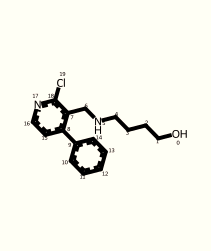 OCCCCNCc1c(-c2ccccc2)ccnc1Cl